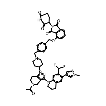 CC(=O)N1CCc2c(c(N3CCCc4cc(-c5cnn(C)c5)c(C(F)F)cc43)nn2C2CCN(Cc3ccc(COc4cccc5c4C(=O)N(C4CCC(=O)NC4=O)C5=O)cc3)CC2)C1